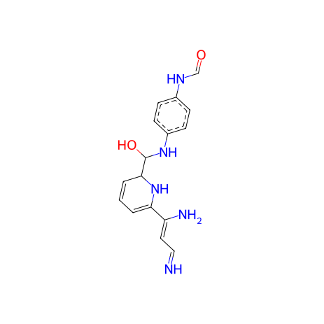 N=C/C=C(\N)C1=CC=CC(C(O)Nc2ccc(NC=O)cc2)N1